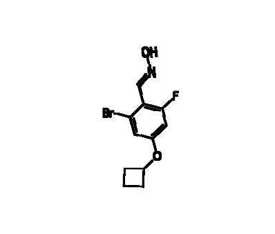 O/N=C/c1c(F)cc(OC2CCC2)cc1Br